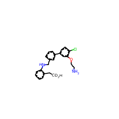 NCCOc1cc(-c2cccc(CNc3ccccc3CC(=O)O)c2)ccc1Cl